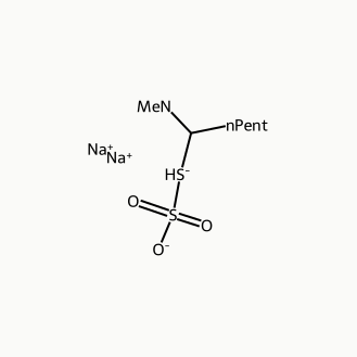 CCCCCC(NC)[SH-]S(=O)(=O)[O-].[Na+].[Na+]